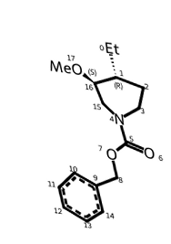 CC[C@@H]1CCN(C(=O)OCc2ccccc2)C[C@H]1OC